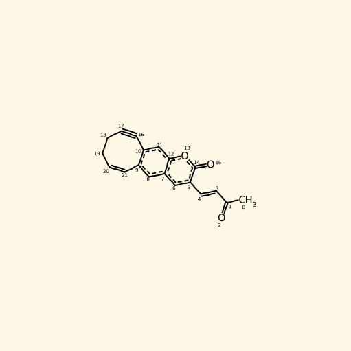 CC(=O)/C=C/c1cc2cc3c(cc2oc1=O)C#CCC/C=C\3